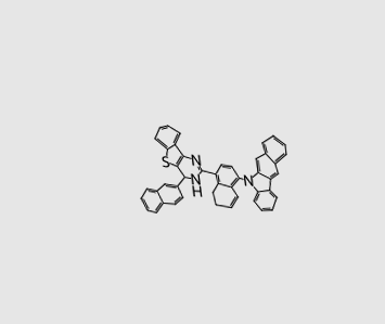 C1=Cc2c(-n3c4ccccc4c4cc5ccccc5cc43)ccc(C3=Nc4c(sc5ccccc45)C(c4ccc5ccccc5c4)N3)c2CC1